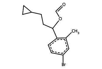 Cc1cc(Br)ccc1C(CCC1CC1)OC=O